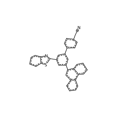 N#Cc1ccc(-c2cc(-c3nc4ccccc4s3)cc(-c3cc4ccccc4c4ccccc34)c2)cc1